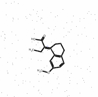 CC/C(C(=O)O)=C1/CCCc2ccc(OC)cc21